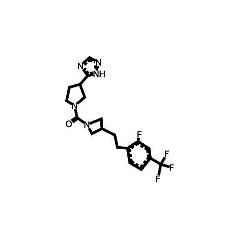 O=C(N1CC(CCc2ccc(C(F)(F)F)cc2F)C1)N1CCC(c2ncn[nH]2)C1